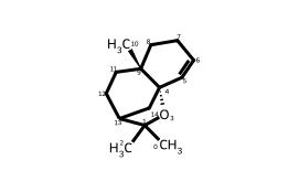 CC1(C)O[C@@]23C=CCC[C@@]2(C)CCC1C3